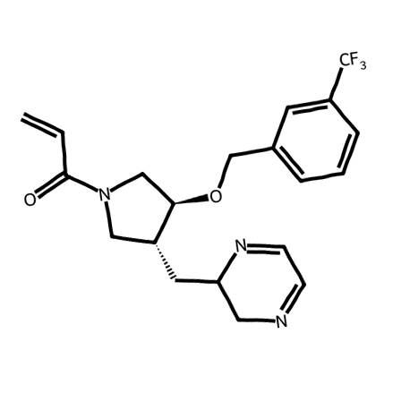 C=CC(=O)N1C[C@@H](CC2CN=CC=N2)[C@H](OCc2cccc(C(F)(F)F)c2)C1